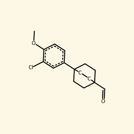 COc1ccc(C23CCC(C=O)(CC2)CC3)cc1Cl